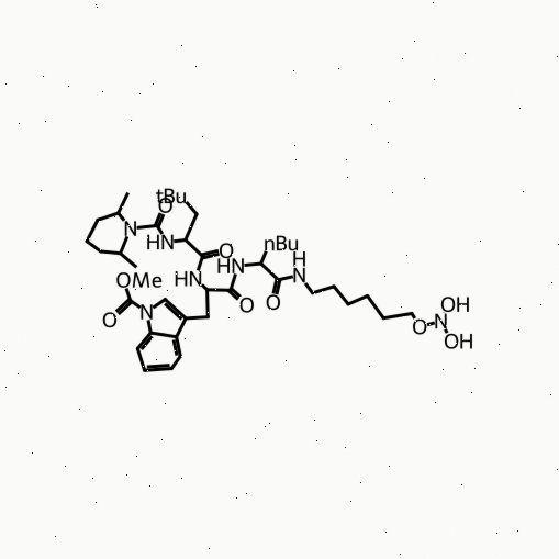 CCCCC(NC(=O)C(Cc1cn(C(=O)OC)c2ccccc12)NC(=O)C(CC(C)(C)C)NC(=O)N1C(C)CCCC1C)C(=O)NCCCCCCON(O)O